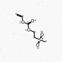 C=COC(=O)OCCS(C)(=O)=O